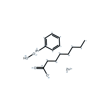 CC(C)c1ccccc1.CCCCCCCC(=O)[O-].[O-]O.[Zn+2]